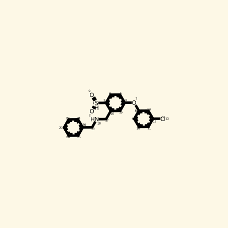 O=[SH](=O)c1ccc(Oc2cccc(Cl)c2)cc1CNCc1ccccc1